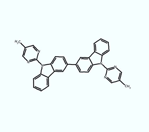 Cc1cnc(-n2c3ccccc3c3cc(-c4ccc5c(c4)c4ccccc4n5-c4ncc(C)cn4)ccc32)nc1